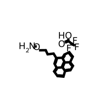 NOCCCCc1cc2cccc3ccc4cccc1c4c32.O=C(O)C(F)(F)F